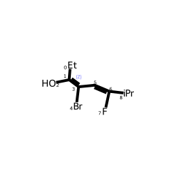 CC/C(O)=C(/Br)C=C(F)C(C)C